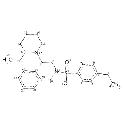 CCc1ccc(S(=O)(=O)N(CCN2CCCCC2CC)Cc2ccccc2)cc1